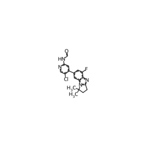 CC1(C)CCc2nc3c(F)cc(-c4cc(NC=O)ncc4Cl)cc3n21